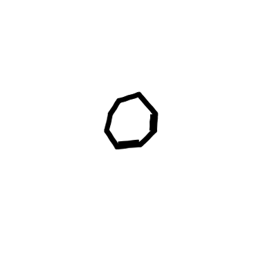 [C]1=CCCCCC=C1